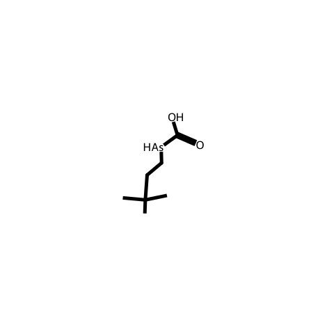 CC(C)(C)CC[AsH]C(=O)O